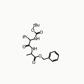 CC(NC(=O)C(NC(=O)OC(C)(C)C)C(C)C)C(=O)OCc1ccccc1